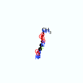 CNCCOCC(=O)OC[C@@H]1CC(c2ccc(-c3ccc(N4C[C@H](Cn5ccnn5)OC4=O)cc3F)cn2)=NO1